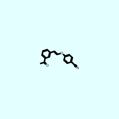 CC(=O)c1cccc(/C=C/Oc2ccc(C#N)cc2)c1